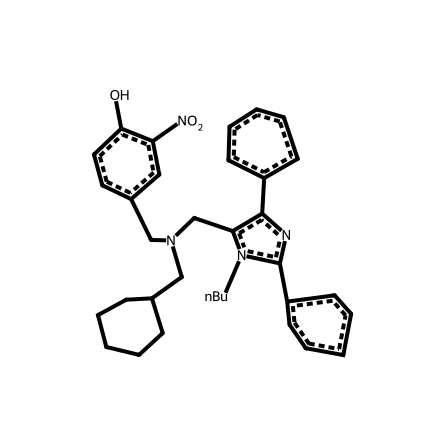 CCCCn1c(-c2ccccc2)nc(-c2ccccc2)c1CN(Cc1ccc(O)c([N+](=O)[O-])c1)CC1CCCCC1